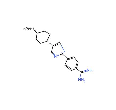 CCCCC[C@H]1CC[C@H](c2cnc(-c3ccc(C(=N)N)cc3)nc2)CC1